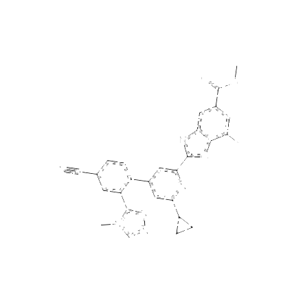 COC(=O)c1cc(F)c2oc(-c3cc(-c4ccc(C#N)cc4-c4nncn4C)cc(C4CC4)n3)nc2c1